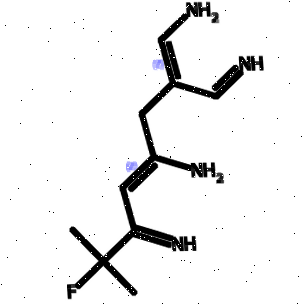 CC(C)(F)C(=N)/C=C(\N)C/C(C=N)=C/N